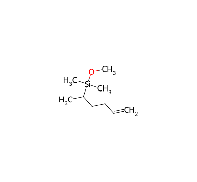 C=CCCC(C)[Si](C)(C)OC